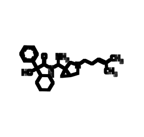 CC(C)=CCCN1CC2CC2(C(N)NC(=O)C(O)(c2ccccc2)C2CCCCC2)C1